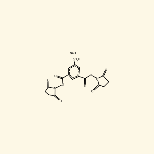 O=C(ON1C(=O)CCC1=O)c1cc(C(=O)ON2C(=O)CCC2=O)cc(S(=O)(=O)O)c1.[NaH]